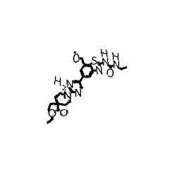 C=C(/N=C\C(=C/N)c1cc(COC)c2sc(NC(=O)NCC)nc2c1)N1CCC(CC)(C(=O)OCC)CC1